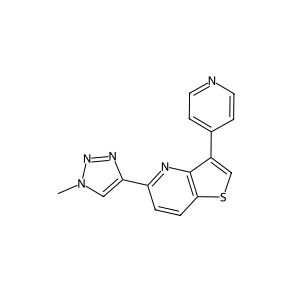 Cn1cc(-c2ccc3scc(-c4ccncc4)c3n2)nn1